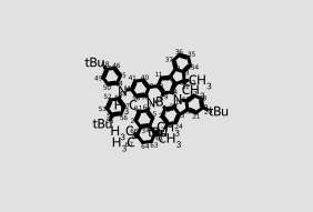 Cc1cc2c(cc1N1B3c4c(cc5c(c4-n4c6ccc(C(C)(C)C)cc6c6cc(C(C)(C)C)cc3c64)C(C)(C)c3ccccc3-5)-c3ccc(N(c4ccc(C(C)(C)C)cc4)c4ccc(C(C)(C)C)cc4)cc31)C(C)(C)CCC2(C)C